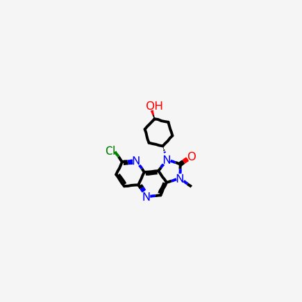 Cn1c(=O)n([C@H]2CC[C@H](O)CC2)c2c3nc(Cl)ccc3ncc21